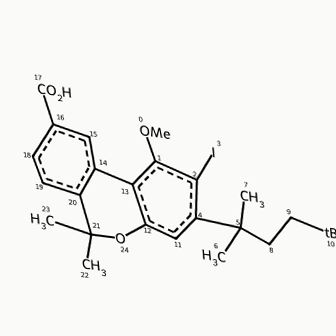 COc1c(I)c(C(C)(C)CCC(C)(C)C)cc2c1-c1cc(C(=O)O)ccc1C(C)(C)O2